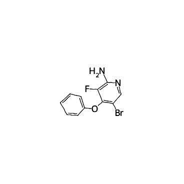 Nc1ncc(Br)c(Oc2ccccc2)c1F